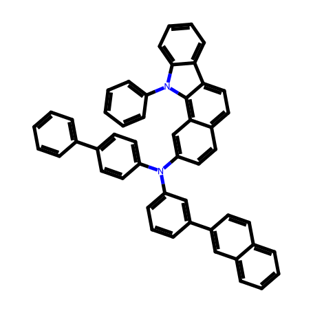 c1ccc(-c2ccc(N(c3cccc(-c4ccc5ccccc5c4)c3)c3ccc4ccc5c6ccccc6n(-c6ccccc6)c5c4c3)cc2)cc1